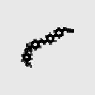 CCCCOC1CCC(C2CCC(/C=C/C3CCC(C(F)(F)Oc4ccc(C(F)(F)F)cc4)CC3)CC2)CC1